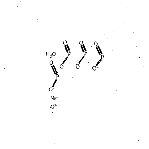 O.O=P[O-].O=P[O-].O=P[O-].O=P[O-].[Al+3].[Na+]